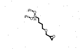 CC(C)O[SiH](CCCCOCC1CO1)OC(C)C